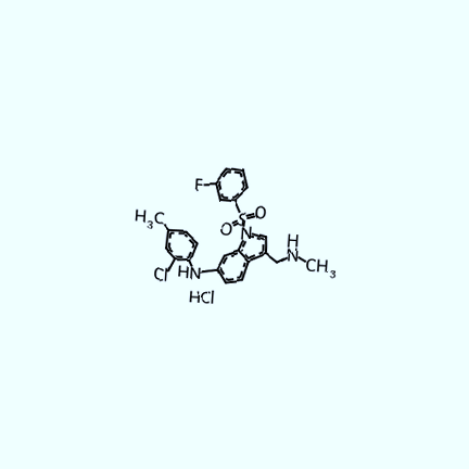 CNCc1cn(S(=O)(=O)c2cccc(F)c2)c2cc(Nc3ccc(C)cc3Cl)ccc12.Cl